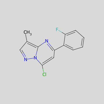 Cc1cnn2c(Cl)cc(-c3ccccc3F)nc12